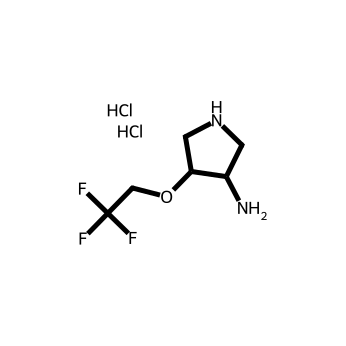 Cl.Cl.NC1CNCC1OCC(F)(F)F